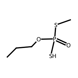 CCCOP(=O)(S)SC